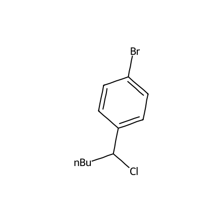 CCCCC(Cl)c1ccc(Br)cc1